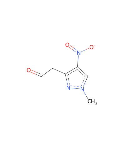 Cn1cc([N+](=O)[O-])c(CC=O)n1